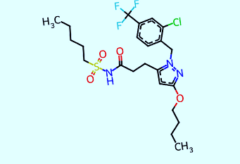 CCCCCS(=O)(=O)NC(=O)CCc1cc(OCCCC)nn1Cc1ccc(C(F)(F)F)cc1Cl